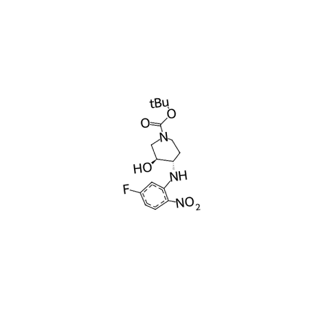 CC(C)(C)OC(=O)N1CC[C@H](Nc2cc(F)ccc2[N+](=O)[O-])[C@@H](O)C1